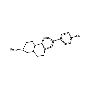 CCCCCC1CCC2c3ccc(-c4ccc(C#N)cc4)cc3CCC2C1